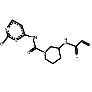 C=CC(=O)NC1CCCN(C(=O)Nc2ccnc(Cl)n2)C1